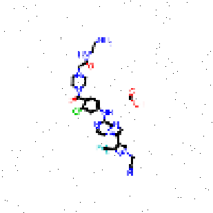 N#CCn1cc(-c2cnc3c(Nc4ccc(C(=O)N5CCN(CC(=O)NCCN)CC5)c(Cl)c4)nccn23)c(C(F)(F)F)n1.O=CO